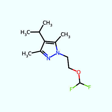 Cc1nn(CCOC(F)F)c(C)c1C(C)C